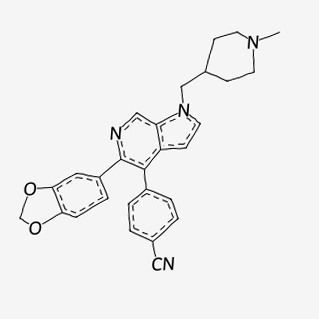 CN1CCC(Cn2ccc3c(-c4ccc(C#N)cc4)c(-c4ccc5c(c4)OCO5)ncc32)CC1